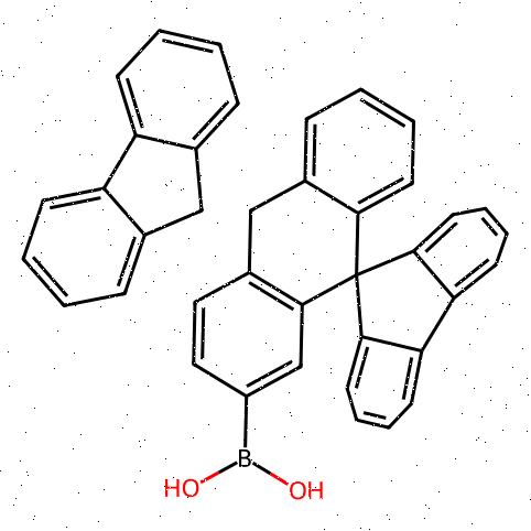 OB(O)c1ccc2c(c1)C1(c3ccccc3C2)c2ccccc2-c2ccccc21.c1ccc2c(c1)Cc1ccccc1-2